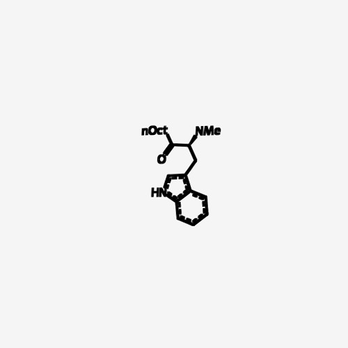 CCCCCCCCC(=O)[C@H](Cc1c[nH]c2ccccc12)NC